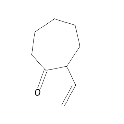 C=CC1CCCCCC1=O